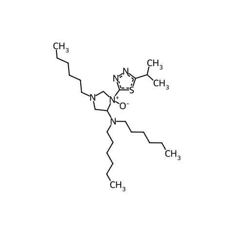 CCCCCCN1CC(N(CCCCCC)CCCCCC)[N+]([O-])(c2nnc(C(C)C)s2)C1